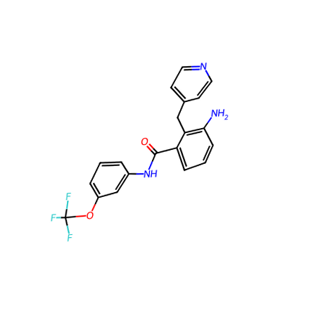 Nc1cccc(C(=O)Nc2cccc(OC(F)(F)F)c2)c1Cc1ccncc1